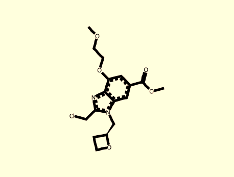 COCCOc1cc(C(=O)OC)cc2c1nc(CCl)n2C[C@@H]1CCO1